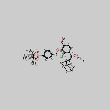 CO/C(=C1\C2CC3CC4CC1C42C3)c1ccc(C=O)c(OCc2ccc(B3OC(C)(C)C(C)(C)O3)cc2)c1Cl